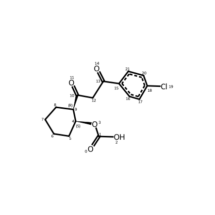 O=C(O)O[C@H]1CCCC[C@H]1C(=O)CC(=O)c1ccc(Cl)cc1